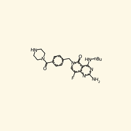 CCCCNc1nc(N)nc2c(F)cn(Cc3ccc(C(=O)N4CCNCC4)cc3)c(=O)c12